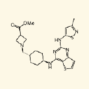 COC(=O)C1CN(C[C@H]2CC[C@H](Nc3nc(Nc4cc(C)ns4)nc4ccsc34)CC2)C1